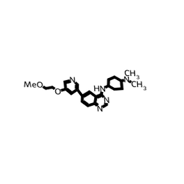 COCCOc1cncc(-c2ccc3ncnc(NC4CCC(N(C)C)CC4)c3c2)c1